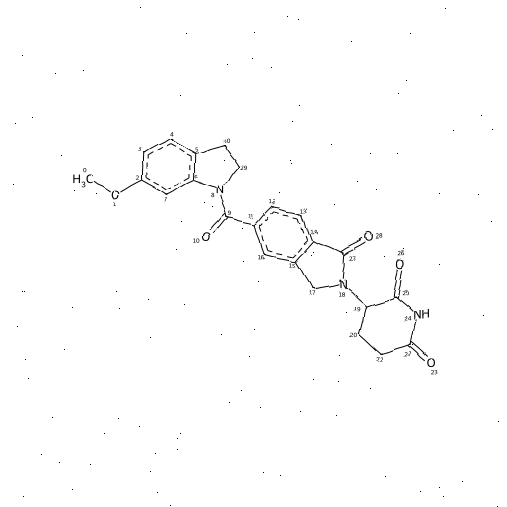 COc1ccc2c(c1)N(C(=O)c1ccc3c(c1)CN(C1CCC(=O)NC1=O)C3=O)CC2